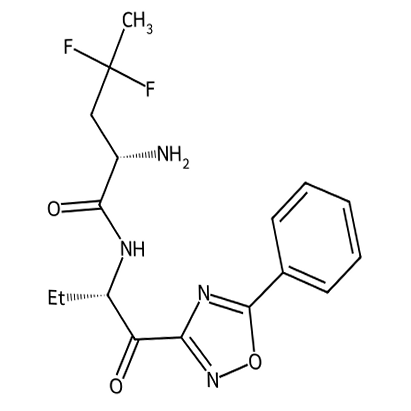 CC[C@H](NC(=O)[C@@H](N)CC(C)(F)F)C(=O)c1noc(-c2ccccc2)n1